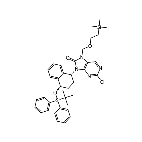 CC(C)(C)[Si](O[C@@H]1CC[C@@H](n2c(=O)n(COCC[Si](C)(C)C)c3cnc(Cl)nc32)c2ccccc21)(c1ccccc1)c1ccccc1